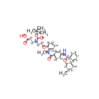 Cc1ccc(-c2ccccc2C(=O)Nc2ccc(C(=O)N(C)c3ccccc3OCCN(CCC(=O)O)C(=O)OC(C)(C)C)cc2)cc1